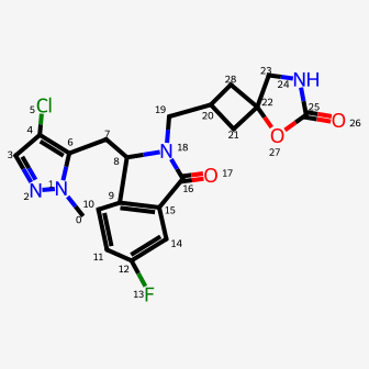 Cn1ncc(Cl)c1CC1c2ccc(F)cc2C(=O)N1CC1CC2(CNC(=O)O2)C1